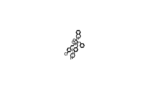 CN1CCN(c2ccc(CN(C(=O)C=Cc3ccc(Cl)cn3)[C@@H](Cc3ccccc3)C(=O)N3CCc4ccccc4C3)cc2)CC1